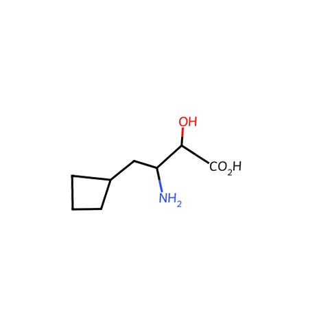 NC(CC1CCC1)C(O)C(=O)O